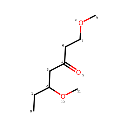 CCC(CC(=O)CCOC)OC